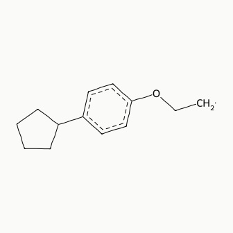 [CH2]COc1ccc(C2CCCC2)cc1